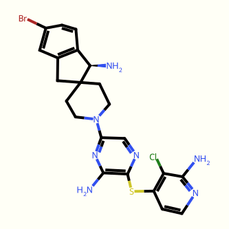 Nc1nc(N2CCC3(CC2)Cc2cc(Br)ccc2[C@H]3N)cnc1Sc1ccnc(N)c1Cl